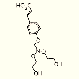 O=C(O)C=Cc1ccc(OCN(OCCO)OCCO)cc1